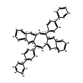 c1cncc(-c2ccc(/C3=N/c4cc5ccccc5cc4/C(c4ccc(-c5cccnc5)cc4)=N\c4cc5ccccc5cc43)cc2)c1